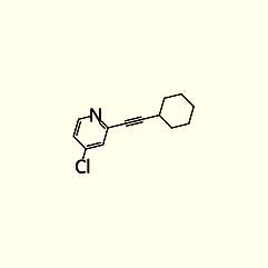 Clc1ccnc(C#CC2CCCCC2)c1